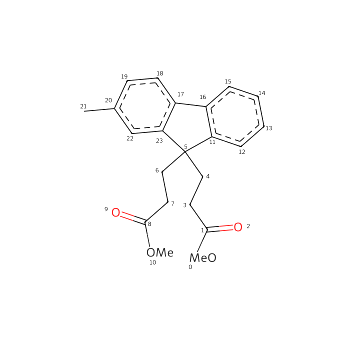 COC(=O)CCC1(CCC(=O)OC)c2ccccc2-c2ccc(C)cc21